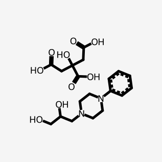 O=C(O)CC(O)(CC(=O)O)C(=O)O.OCC(O)CN1CCN(c2ccccc2)CC1